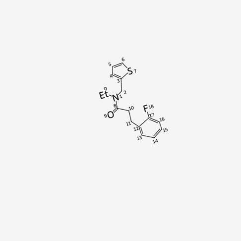 CCN(Cc1cccs1)C(=O)CCc1ccccc1F